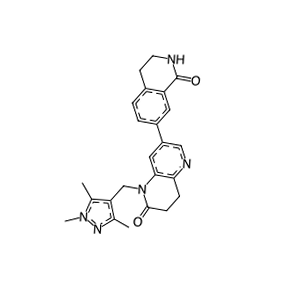 Cc1nn(C)c(C)c1CN1C(=O)CCc2ncc(-c3ccc4c(c3)C(=O)NCC4)cc21